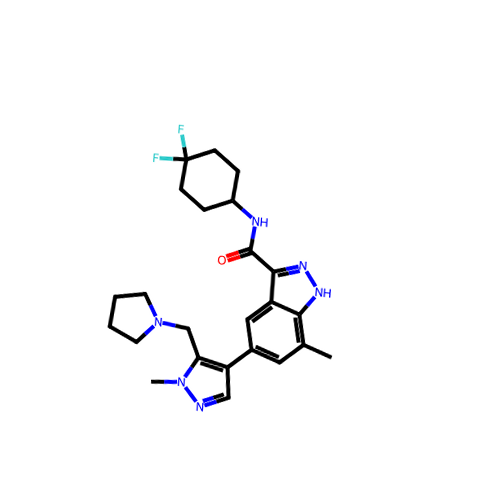 Cc1cc(-c2cnn(C)c2CN2CCCC2)cc2c(C(=O)NC3CCC(F)(F)CC3)n[nH]c12